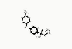 CCC(C)(CC)c1ccc(OC2CCN(C)CC2)cc1